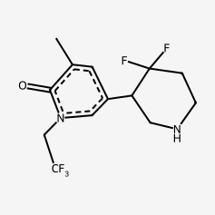 Cc1cc(C2CNCCC2(F)F)cn(CC(F)(F)F)c1=O